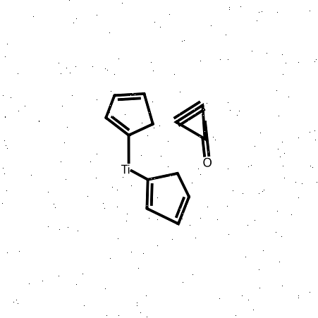 C1=CC[C]([Ti][C]2=CC=CC2)=C1.O=c1c#c1